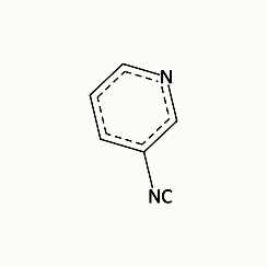 [C-]#[N+]c1cccnc1